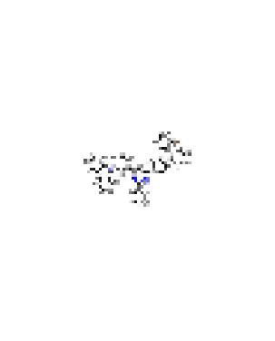 c1ccc(-c2nc(-c3ccc(-c4cccc5sc6ccccc6c45)cc3)cc(-c3cccc(-n4c5ccccc5c5ccccc54)c3)n2)cc1